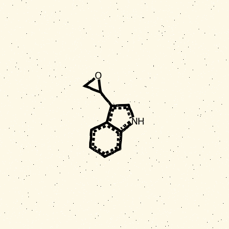 c1ccc2c(C3CO3)c[nH]c2c1